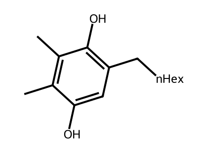 CCCCCCCc1cc(O)c(C)c(C)c1O